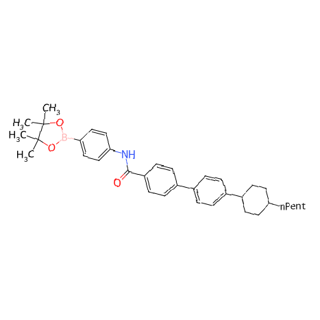 CCCCCC1CCC(c2ccc(-c3ccc(C(=O)Nc4ccc(B5OC(C)(C)C(C)(C)O5)cc4)cc3)cc2)CC1